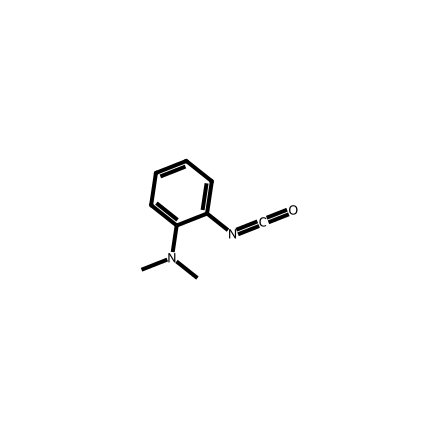 CN(C)c1ccccc1N=C=O